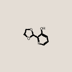 Oc1cccnc1C1OCCO1